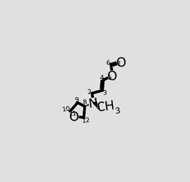 CN(C/C=C/OC=O)[C@H]1CCOC1